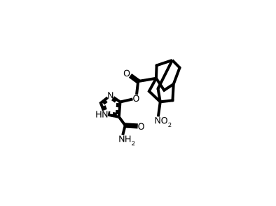 NC(=O)c1[nH]cnc1OC(=O)C12CC3CC(C1)CC([N+](=O)[O-])(C3)C2